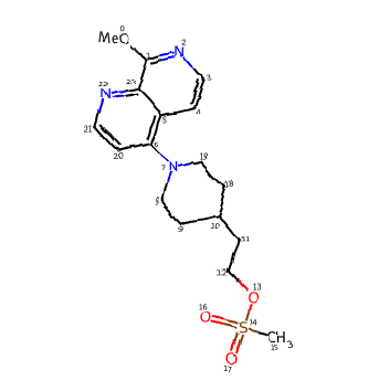 COc1nccc2c(N3CCC(CCOS(C)(=O)=O)CC3)ccnc12